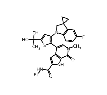 CCNC(=O)c1cc2c(-c3sc(C(C)(C)O)cc3N3CC4(CC4)c4cc(F)ccc43)cn(C)c(=O)c2[nH]1